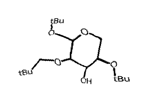 CC(C)(C)COC1C(OC(C)(C)C)OCC(OC(C)(C)C)C1O